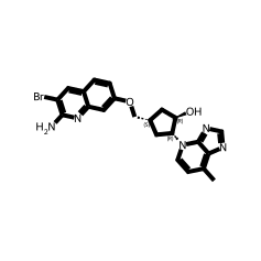 Cc1ccn([C@@H]2C[C@H](COc3ccc4cc(Br)c(N)nc4c3)C[C@H]2O)c2ncnc1-2